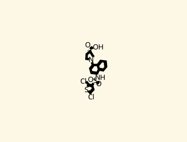 O=C(O)[C@@H]1CCN(c2ccc(NS(=O)(=O)c3cc(Cl)sc3Cl)c3ccccc23)C1